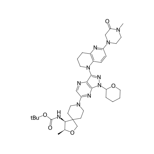 C[C@@H]1OCC2(CCN(c3cnc4c(N5CCCc6nc(N7CCN(C)C(=O)C7)ccc65)nn(C5CCCCO5)c4n3)CC2)[C@@H]1NC(=O)OC(C)(C)C